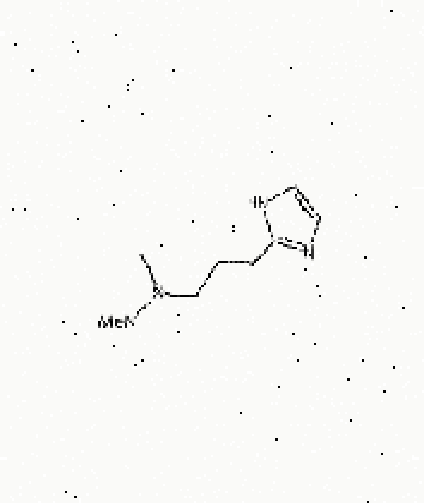 CNN(C)CCCc1ncc[nH]1